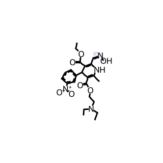 CCOC(=O)C1=C(/C=N\O)NC(C)=C(C(=O)OCCN(CC)CC)C1c1cccc([N+](=O)[O-])c1